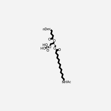 CCCCCCCCCCCCCC(=O)O[C@H](COC(=O)CCCCCCCCCCCCNC(C)=O)COP(=O)(O)O